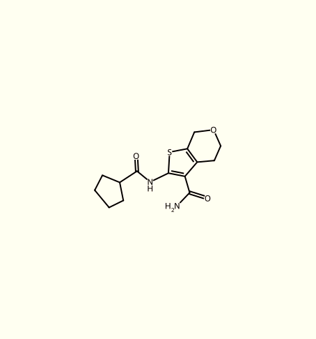 NC(=O)c1c(NC(=O)C2CCCC2)sc2c1CCOC2